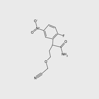 N#CCOCC[C](C(N)=O)c1cc([N+](=O)[O-])ccc1F